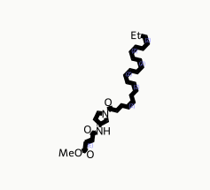 CC/C=C\C/C=C\C/C=C\C/C=C\C/C=C\C/C=C\CCC(=O)N1CC[C@H](NC(=O)/C=C/C(=O)OC)C1